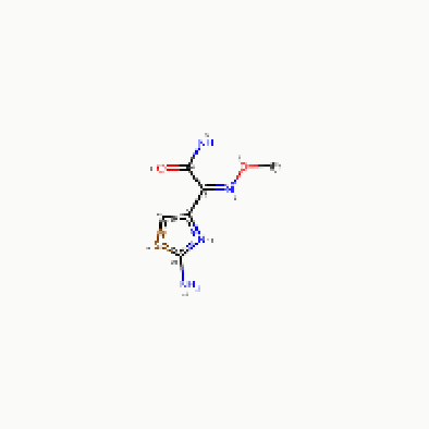 CC(C)O/N=C(\C([NH])=O)c1csc(N)n1